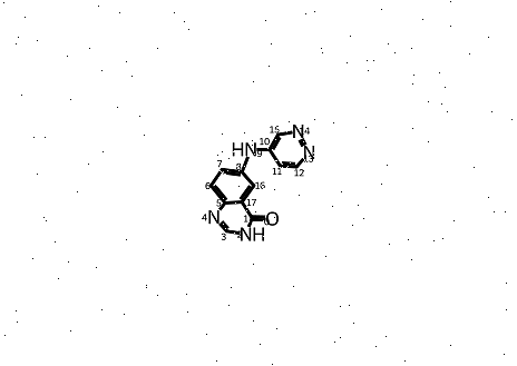 O=c1[nH]cnc2ccc(Nc3ccnnc3)cc12